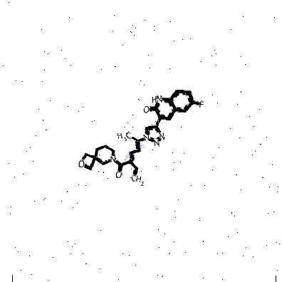 C=C/C(=C\C=C(/C)n1cc(-c2cc3cc(F)ccc3[nH]c2=O)nn1)C(=O)N1CCCC2(COC2)C1